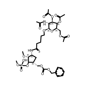 CO[C@H]1C(OP(=O)(O)OC)[C@@H](COC(=O)OCc2ccccc2)C[C@H]1NC(=S)CCCCO[C@@H]1O[C@H](COC(C)=O)[C@H](OC(C)=O)[C@H](OC(C)=O)[C@H]1NC(C)=O